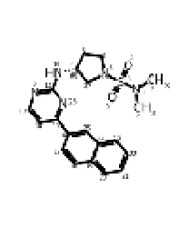 CN(C)S(=O)(=O)N1CC[C@@H](Nc2nccc(-c3ccc4ccccc4c3)n2)C1